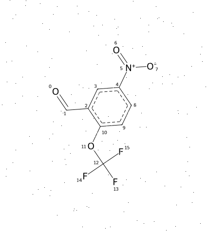 O=Cc1cc([N+](=O)[O-])ccc1OC(F)(F)F